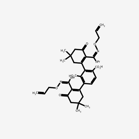 C=CCO/N=C(/CCC)C1=C(c2ccc(C(=O)O)c(C3=C(/C(CCC)=N\OCC=C)C(=O)CC(C)(C)C3)c2C(=O)O)CC(C)(C)CC1=O